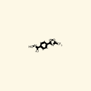 ON=C(Cl)c1ccc(-c2noc(C(F)(F)F)n2)cc1